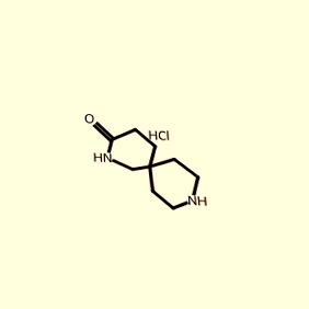 Cl.O=C1CCC2(CCNCC2)CN1